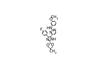 C=C1COC(c2nc(-c3ccc(F)cc3)c(-c3ccnc(Nc4cccc(OC)c4)n3)[nH]2)OC1